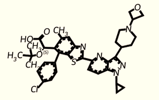 Cc1cc2nc(-c3ccc4c(n3)c(C3CCN(C5COC5)CC3)nn4C3CC3)sc2c(-c2ccc(Cl)cc2)c1[C@H](OC(C)(C)C)C(=O)O